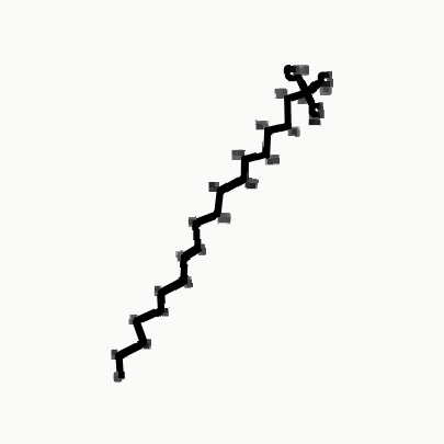 CCCCCCCCCCCCCCCCCCC(Cl)(Cl)Cl